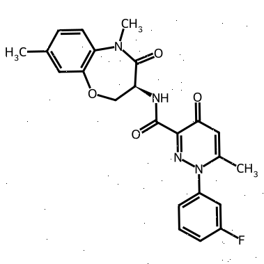 Cc1ccc2c(c1)OC[C@H](NC(=O)c1nn(-c3cccc(F)c3)c(C)cc1=O)C(=O)N2C